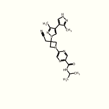 Cc1n[nH]cc1-c1cn(C2(CC#N)CN(c3cnc(C(=O)NC(C)C)cn3)C2)nc1C